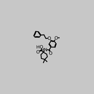 COc1ccc(C(=O)NC2(C(=O)O)CCC(C)(C)CC2)cc1OCCc1ccccc1